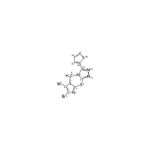 Cn1c(Sc2nc(Br)c(Br)s2)nnc1-c1cccs1